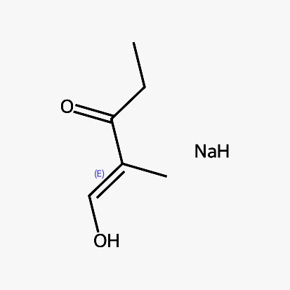 CCC(=O)/C(C)=C/O.[NaH]